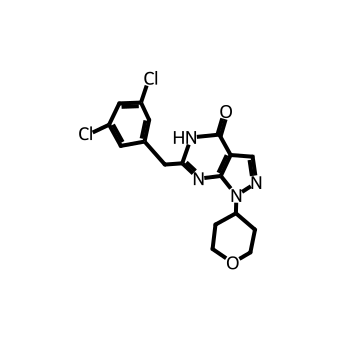 O=c1[nH]c(Cc2cc(Cl)cc(Cl)c2)nc2c1cnn2C1CCOCC1